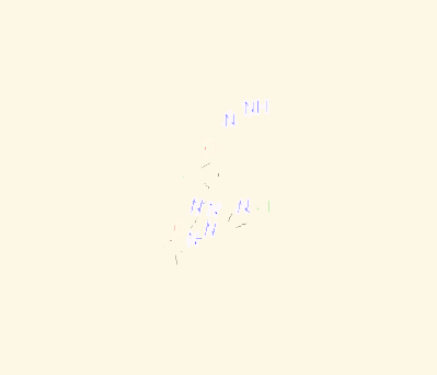 CC1(Oc2ncnc3c2nc(-c2ccc(OCCN4CCNCC4)cc2Cl)n3Cc2cccc(Cl)n2)CC1